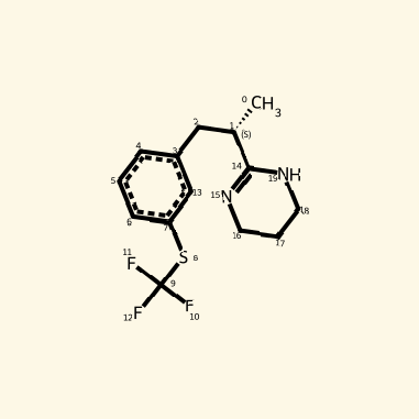 C[C@@H](Cc1cccc(SC(F)(F)F)c1)C1=NCCCN1